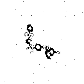 O=S(=O)(NC1CCC(Nc2ccnc3cc(Cl)ccc23)CC1)c1ccc(S(=O)(=O)c2ccccc2)s1